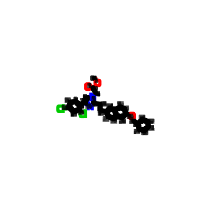 COC(=O)Cn1cc(-c2ccc(Cl)cc2Cl)nc1C=Cc1ccc2cc(OCc3ccccc3)ccc2c1